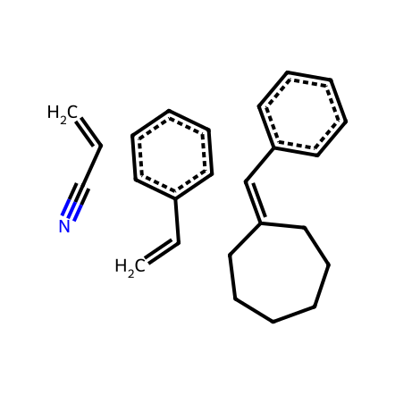 C(=C1CCCCCC1)c1ccccc1.C=CC#N.C=Cc1ccccc1